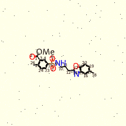 COC(=O)c1cc(S(=O)(=O)NCCCc2nc3cc(C)ccc3o2)ccc1C